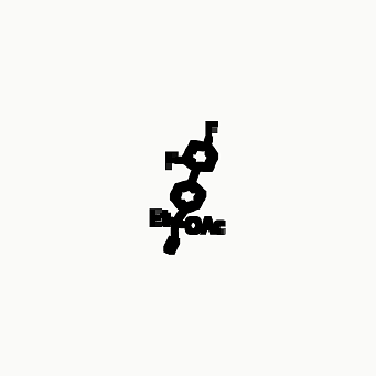 C#CC(CC)(OC(C)=O)c1ccc(-c2ccc(F)cc2F)cc1